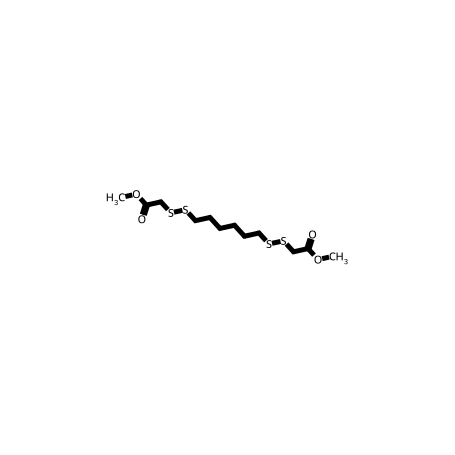 COC(=O)CSSCCCCCCSSCC(=O)OC